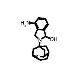 Nc1cccc2c1CN(C13CC4CCC(C1)C(C4)C3)C2O